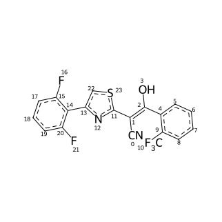 N#CC(=C(O)c1ccccc1C(F)(F)F)c1nc(-c2c(F)cccc2F)cs1